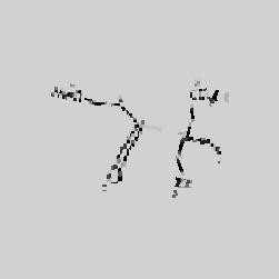 CCC(C)(C(=O)O)C(=O)COC